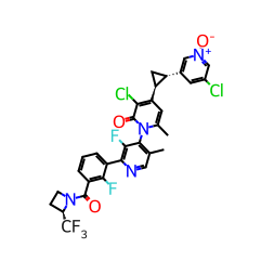 Cc1cnc(-c2cccc(C(=O)N3CC[C@@H]3C(F)(F)F)c2F)c(F)c1-n1c(C)cc([C@H]2C[C@@H]2c2cc(Cl)c[n+]([O-])c2)c(Cl)c1=O